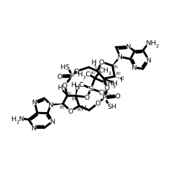 CC(C)(C)[Si](C)(C)O[C@H]1[C@H]2OP(=O)(S)OC[C@H]3O[C@@H](n4cnc5c(N)ncnc54)[C@H](F)[C@@H]3OP(=O)(S)OC[C@H]1O[C@H]2n1cnc2c(N)ncnc21